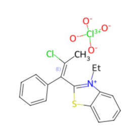 CC[n+]1c(/C(=C(\C)Cl)c2ccccc2)sc2ccccc21.[O-][Cl+3]([O-])([O-])[O-]